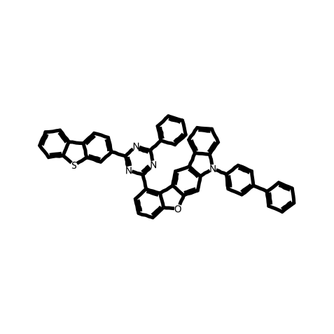 c1ccc(-c2ccc(-n3c4ccccc4c4cc5c(cc43)oc3cccc(-c4nc(-c6ccccc6)nc(-c6ccc7c(c6)sc6ccccc67)n4)c35)cc2)cc1